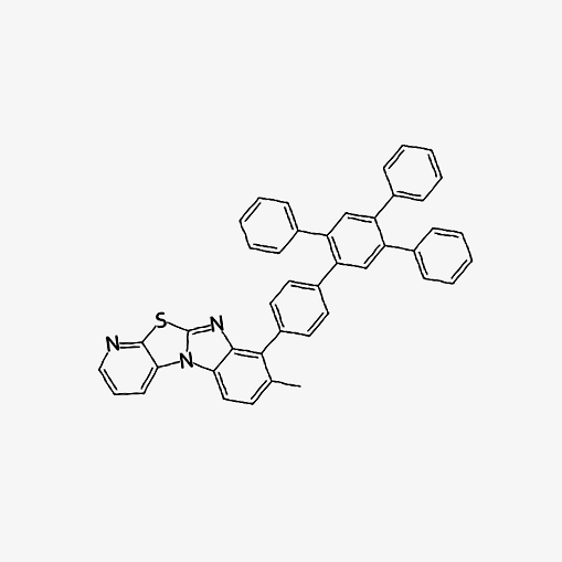 Cc1ccc2c(nc3sc4ncccc4n32)c1-c1ccc(-c2cc(-c3ccccc3)c(-c3ccccc3)cc2-c2ccccc2)cc1